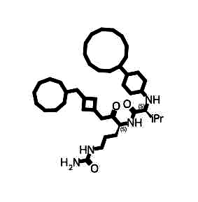 CC(C)[C@H](NC1CCC(C2CCCCCCCCCCC2)CC1)C(=O)N[C@@H](CCCNC(N)=O)C(=O)CC1CC(CC2CCCCCCCC2)C1